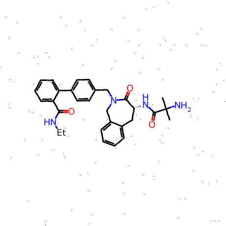 CCNC(=O)c1ccccc1-c1ccc(CN2Cc3ccccc3C[C@@H](NC(=O)C(C)(C)N)C2=O)cc1